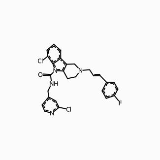 O=C(NCc1ccnc(Cl)c1)n1c2c(c3cccc(Cl)c31)CN(CC=Cc1ccc(F)cc1)CC2